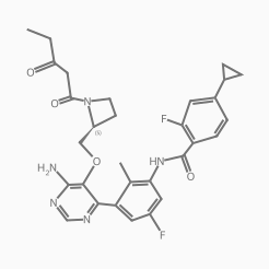 CCC(=O)CC(=O)N1CC[C@H]1COc1c(N)ncnc1-c1cc(F)cc(NC(=O)c2ccc(C3CC3)cc2F)c1C